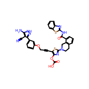 N#Cc1c(-c2cccc(OCC#Cc3sc(N4CCc5cccc(C(=O)Nc6nc7ccccc7s6)c5C4)nc3OC(=O)O)c2)n[nH]c1N